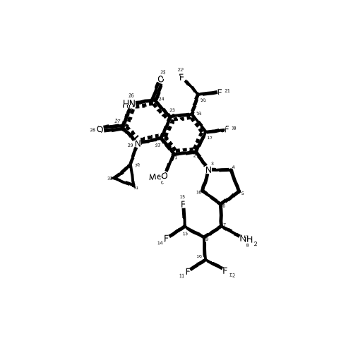 COc1c(N2CCC(C(N)C(C(F)F)C(F)F)C2)c(F)c(C(F)F)c2c(=O)[nH]c(=O)n(C3CC3)c12